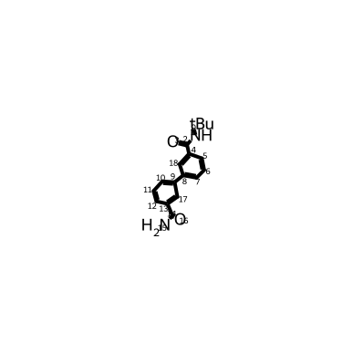 CC(C)(C)NC(=O)c1cccc(-c2cccc(C(N)=O)c2)c1